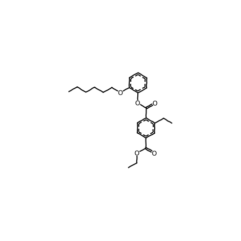 CCCCCCOc1ccccc1OC(=O)c1ccc(C(=O)OCC)cc1CC